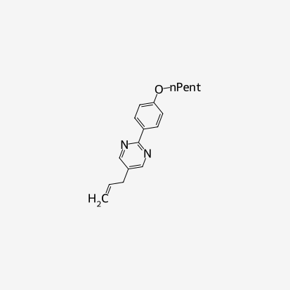 C=CCc1cnc(-c2ccc(OCCCCC)cc2)nc1